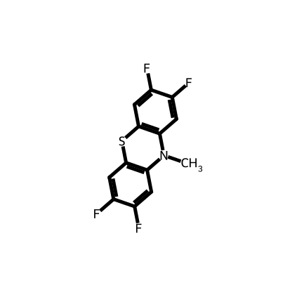 CN1c2cc(F)c(F)cc2Sc2cc(F)c(F)cc21